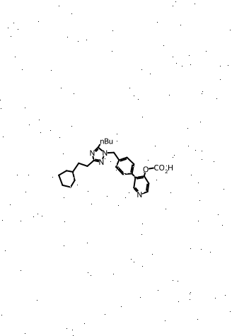 CCCCc1nc(CCC2CCCCC2)nn1Cc1ccc(-c2cnccc2OC(=O)O)cc1